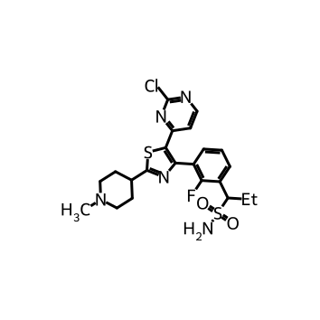 CCC(c1cccc(-c2nc(C3CCN(C)CC3)sc2-c2ccnc(Cl)n2)c1F)S(N)(=O)=O